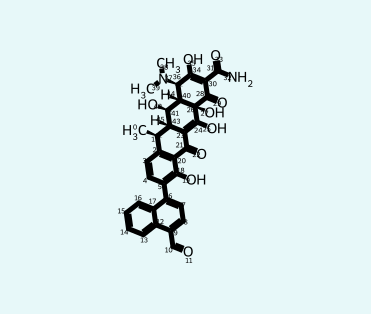 C[C@@H]1c2ccc(-c3ccc(C=O)c4ccccc34)c(O)c2C(=O)C2=C(O)[C@@]3(O)C(=O)C(C(N)=O)=C(O)[C@H](N(C)C)[C@H]3[C@H](O)[C@H]21